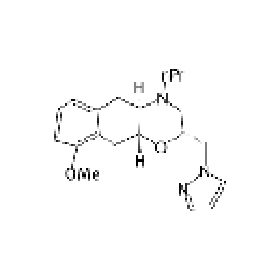 CCCN1C[C@H](Cn2cccn2)O[C@@H]2Cc3c(cccc3OC)C[C@H]21